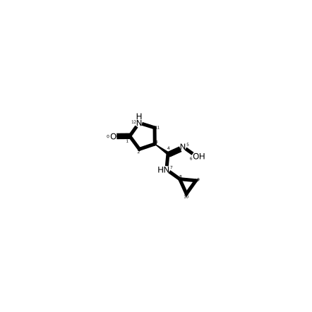 O=C1C[C@H](C(=NO)NC2CC2)CN1